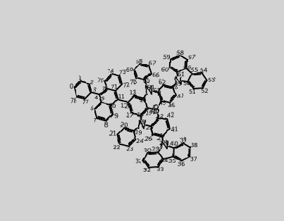 c1ccc(-c2c3ccccc3c(-c3cc4c5c(c3)N(c3ccccc3)c3cc(-n6c7ccccc7c7ccccc76)ccc3B5c3ccc(-n5c6ccccc6c6ccccc65)cc3N4c3ccccc3)c3ccccc23)cc1